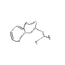 FC(F)=Cc1[c]cc2ccccc2c1